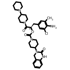 Cc1cc(C[C@@H](OC(=O)N2CCC(N3Cc4ccccc4NC3=O)CC2)C(=O)N2CCC(N3CCCCC3)CC2)cc(Cl)c1N